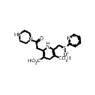 O=C(O)C1=C(CC(=O)N2CCNCC2)NC(C[S+]([O-])c2ccccn2)=C(C(=O)O)C1